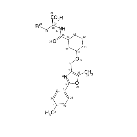 Cc1ccc(-c2nc(COC3CCCC(C(=O)N[C@@H](CC(C)C)C(=O)O)C3)c(C)o2)cc1